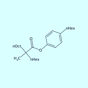 CCCCCCCCC(C)(CCCCCC)C(=O)Oc1ccc(CCCCCC)cc1